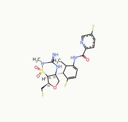 CC1C(NC(=O)c2ccc(F)cn2)=CC=C(F)C1[C@]12CO[C@@H](CF)[C@H]1S(=O)(=O)N(C)C(=N)N2